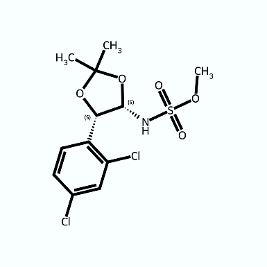 COS(=O)(=O)N[C@H]1OC(C)(C)O[C@H]1c1ccc(Cl)cc1Cl